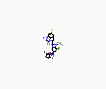 CCC1CNc2cc(F)cc3cc(-c4nc5cc(C(=O)N6C[C@H]7CC[C@@H]6[C@@H]7N)cc(F)c5n4C)n1c23